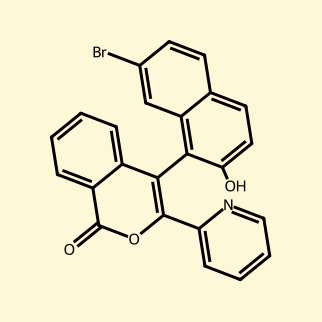 O=c1oc(-c2ccccn2)c(-c2c(O)ccc3ccc(Br)cc23)c2ccccc12